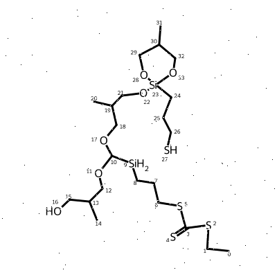 CCSC(=S)SCCC[SiH2]C(OCC(C)CO)OCC(C)CO[Si]1(CCCS)OCC(C)CO1